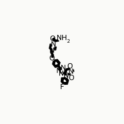 Cn1c(=O)c2nc(-c3ccc(OCCN4CCN(C(=O)CN)CC4)cc3)nnc2n(-c2ccc(F)cc2)c1=O